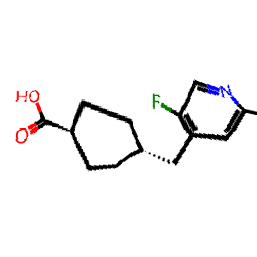 Cc1cc(C[C@H]2CC[C@H](C(=O)O)CC2)c(F)cn1